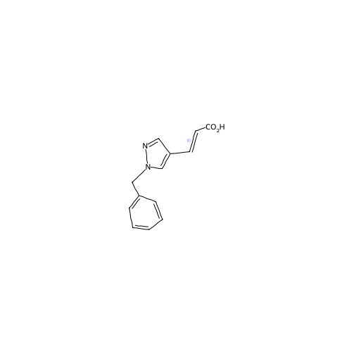 O=C(O)/C=C/c1cnn(Cc2ccccc2)c1